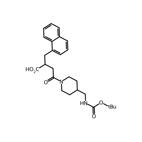 CC(C)(C)OC(=O)NCC1CCN(C(=O)CC(Cc2cccc3ccccc23)C(=O)O)CC1